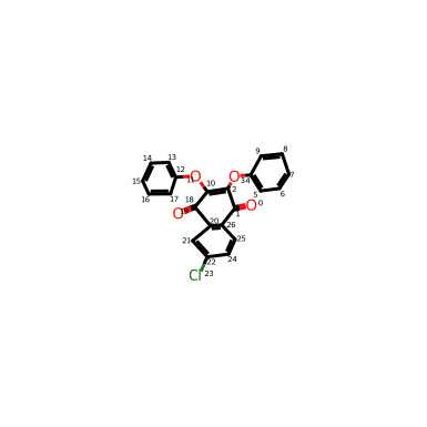 O=C1C(Oc2ccccc2)=C(Oc2ccccc2)C(=O)c2cc(Cl)ccc21